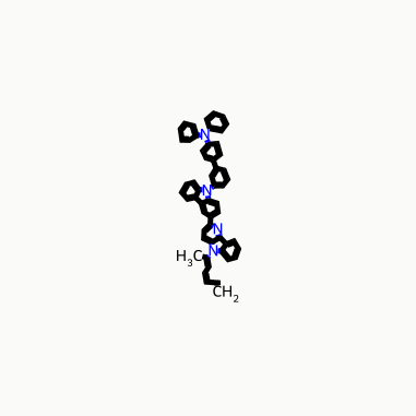 C=C/C=C\C=C(/C)n1c2ccccc2c2nc(-c3ccc4c(c3)c3ccccc3n4-c3cccc(-c4ccc(N(c5ccccc5)c5ccccc5)cc4)c3)ccc21